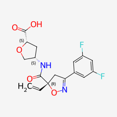 C=C[C@@]1(C(=O)N[C@@H]2CO[C@H](C(=O)O)C2)CC(c2cc(F)cc(F)c2)=NO1